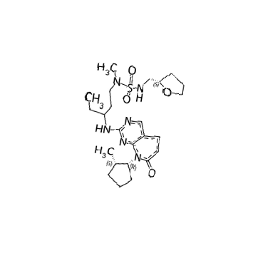 CCC(CCN(C)S(=O)(=O)NC[C@@H]1CCCO1)Nc1ncc2ccc(=O)n([C@@H]3CCC[C@@H]3C)c2n1